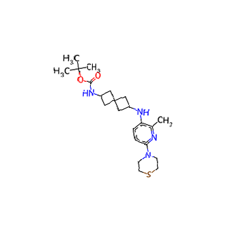 Cc1nc(N2CCSCC2)ccc1NC1CC2(CC(NC(=O)OC(C)(C)C)C2)C1